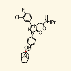 CC(C)NC(=O)Cn1c(-c2ccc(F)c(Cl)c2)nn(-c2ccc(CCN3C4CCC3CC(O)C4)cc2)c1=O